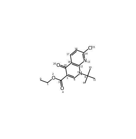 CCOC(=O)c1cn(C(C)(C)C)c2nc(Cl)ccc2c1=O